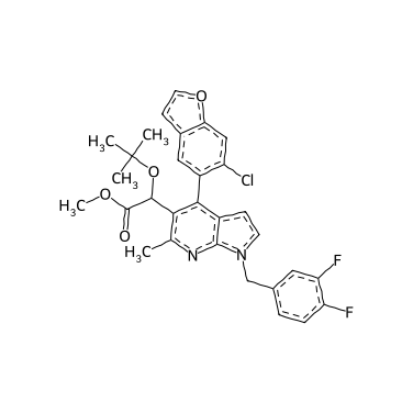 COC(=O)C(OC(C)(C)C)c1c(C)nc2c(ccn2Cc2ccc(F)c(F)c2)c1-c1cc2ccoc2cc1Cl